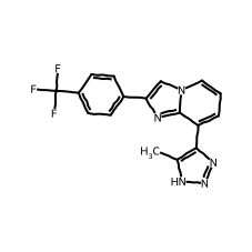 Cc1[nH]nnc1-c1cccn2cc(-c3ccc(C(F)(F)F)cc3)nc12